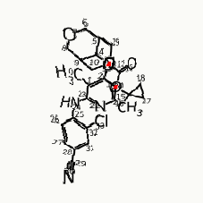 Cc1c(OC2C3COCC2CN(C(=O)OC2(C)CC2)C3)ccnc1Nc1ccc(C#N)cc1Cl